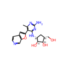 Cc1nc(N)nc(N[C@@H]2C[C@H](CO)[C@@H](O)[C@H]2O)c1-c1cc2ccncc2o1